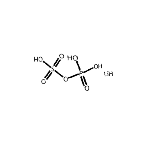 O=P(O)(O)OS(=O)(=O)O.[LiH]